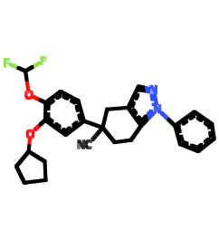 N#CC1(c2ccc(OC(F)F)c(OC3CCCC3)c2)CCc2c(cnn2-c2ccccc2)C1